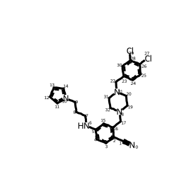 N#Cc1ccc(NCCCn2cccc2)cc1CN1CCN(Cc2ccc(Cl)c(Cl)c2)CC1